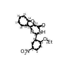 CCOc1ccc([N+](=O)[O-])cc1-c1nc2c(oc3ccccc32)c(=O)[nH]1